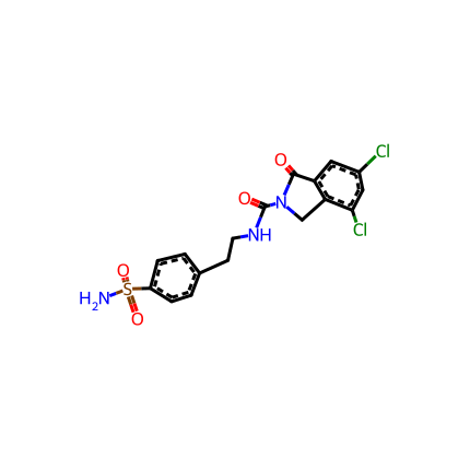 NS(=O)(=O)c1ccc(CCNC(=O)N2Cc3c(Cl)cc(Cl)cc3C2=O)cc1